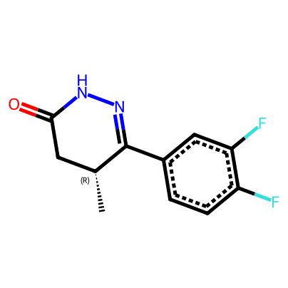 C[C@@H]1CC(=O)NN=C1c1ccc(F)c(F)c1